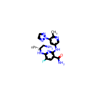 CCC[C@H](CN)Nc1nc(Nc2cnc(C)c(-n3nccn3)c2)c(C(N)=O)cc1F